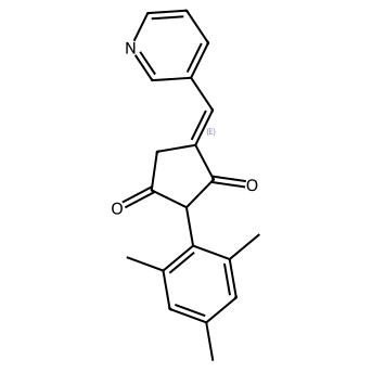 Cc1cc(C)c(C2C(=O)C/C(=C\c3cccnc3)C2=O)c(C)c1